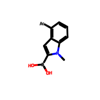 CC(=O)c1cccc2c1cc(B(O)O)n2C